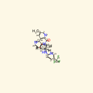 Cc1cnc(C(=O)N2C[C@@H]3CC[C@H]2[C@H](Nc2ccc(C(F)(F)F)cn2)C3)c(-c2ncccc2C)c1